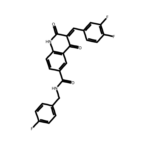 O=C1Nc2ccc(C(=O)NCc3ccc(F)cc3)cc2C(=O)/C1=C\c1ccc(F)c(F)c1